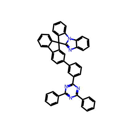 c1ccc(-c2nc(-c3ccccc3)nc(-c3cccc(-c4ccc5c(c4)C4(c6ccccc6-5)c5ccccc5-n5c4nc4ccccc45)c3)n2)cc1